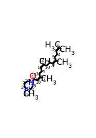 CC(C)=CCCC(C)=CCCC(C)=CCCC(C)=CC(=O)N1CCCN(C)CC1